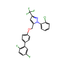 Fc1ccc(F)c(-c2ccc(OCc3cc(C(F)(F)F)nn3-c3ccccc3Cl)cc2)c1